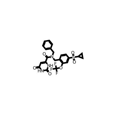 O=C(c1cc(=O)[nH]c(=O)[nH]1)N(Cc1ccccc1)Cc1ccc(S(=O)(=O)C2CC2)cc1OC(F)(F)F